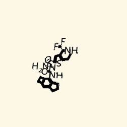 N[S@@](=O)(=NC(=O)Nc1c2c(cc3c1CC3)CCC2)c1cc2c(s1)CCN[C@H]2C(F)F